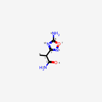 C[C](C(N)=O)c1noc(N)n1